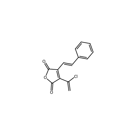 C=C(Cl)C1=C(C=Cc2ccccc2)C(=O)OC1=O